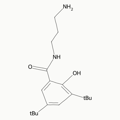 CC(C)(C)c1cc(C(=O)NCCCN)c(O)c(C(C)(C)C)c1